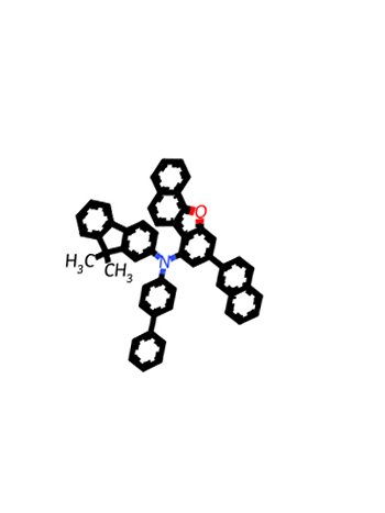 CC1(C)c2ccccc2-c2ccc(N(c3ccc(-c4ccccc4)cc3)c3cc(-c4ccc5ccccc5c4)cc4oc5c6ccccc6ccc5c34)cc21